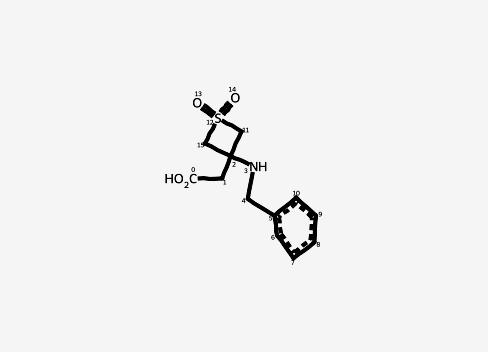 O=C(O)CC1(NCc2ccccc2)CS(=O)(=O)C1